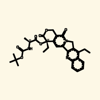 CCc1c2c(nc3ccccc13)-c1cc3c(c(=O)n1C2)COC(=O)[C@@]3(CC)OC(=O)[C@H](C)NC(=O)OC(C)(C)C